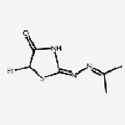 CCC1S/C(=N/N=C(C)C)NC1=O